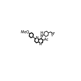 COc1ccc(-c2ccc3ncc(C(C)=O)c(NC4CCC(CN(C)C)CC4)c3n2)cc1